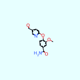 COc1cc(C(N)=O)ccc1Oc1ccc(C=O)cn1